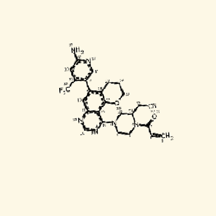 C=CC(=O)N1CCN(c2ncnc3cc(-c4cnc(N)cc4C(F)(F)F)c4c(c23)OCCC4)CC1CC#N